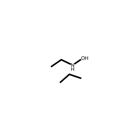 CCC.CCNO